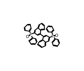 O=P(c1ccccc1)(c1ccccc1)c1cc(-c2cc(P(=O)(c3ccccc3)c3ccccc3)cc3ccccc23)c2ccccc2c1